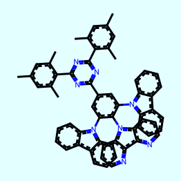 Cc1cc(C)c(-c2nc(-c3cc(-n4c5ccccc5c5ccccc54)c(-n4c5cccnc5c5ncccc54)c(-n4c5ccccc5c5ccccc54)c3)nc(-c3c(C)cc(C)cc3C)n2)c(C)c1